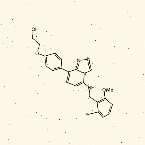 COc1cccc(F)c1CNc1ccc(-c2ccc(OCCO)cc2)c2nncn12